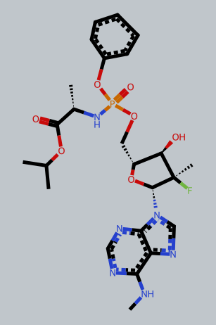 CNc1ncnc2c1ncn2[C@@H]1O[C@H](COP(=O)(N[C@@H](C)C(=O)OC(C)C)Oc2ccccc2)[C@@H](O)[C@@]1(C)F